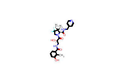 Cc1c(O)cccc1C(=O)NC[C@H](O)C(=O)N1CC(F)(F)C(C)(C)[C@H]1C(=O)NCc1ccncc1